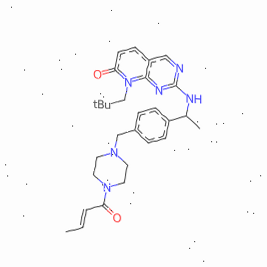 C/C=C/C(=O)N1CCN(Cc2ccc(C(C)Nc3ncc4ccc(=O)n(CC(C)(C)C)c4n3)cc2)CC1